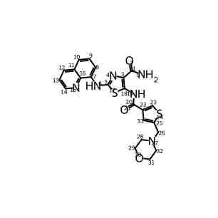 NC(=O)c1nc(Nc2cccc3cccnc23)sc1NC(=O)c1csc(CN2CCOCC2)c1